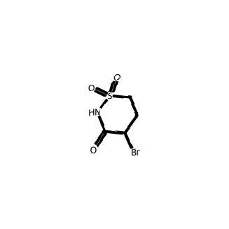 O=C1NS(=O)(=O)CCC1Br